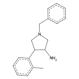 Cc1ccccc1C1CN(Cc2ccccc2)CC1N